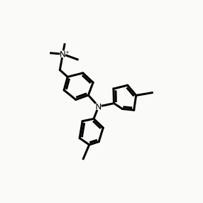 Cc1ccc(N(c2ccc(C)cc2)c2ccc(C[N+](C)(C)C)cc2)cc1